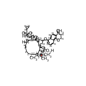 CC[C@@H]1C[C@H](C)CCC=C[C@@H]2C[C@@]2(C(=O)NS(=O)(=O)C2CC2)NC(=O)[C@@H]2C[C@@H](Oc3nccc4c5c(ccc34)N(C)CCO5)CN2C(=O)[C@H]1N(C(=O)O)C(C)(C)C(F)(F)F